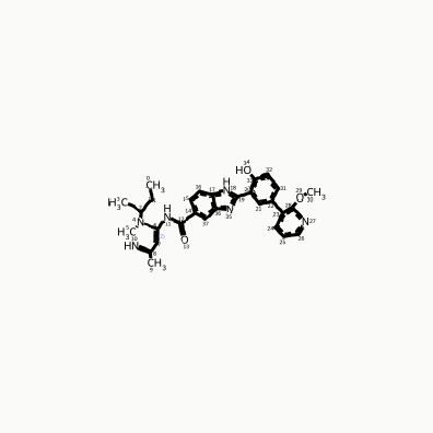 CCC(C)N(C)/C(=C\C(C)=N)NC(=O)c1ccc2[nH]c(-c3cc(-c4cccnc4OC)ccc3O)nc2c1